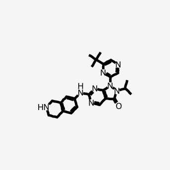 CC(C)n1c(=O)c2cnc(Nc3ccc4c(c3)CNCC4)nc2n1-c1cncc(C(C)(C)C)n1